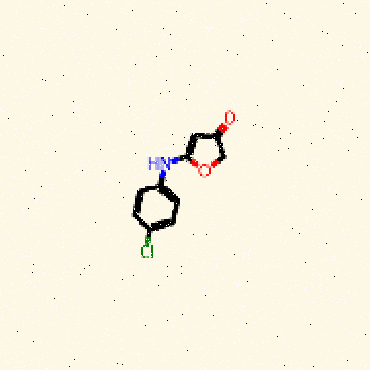 O=C1C=C(Nc2ccc(Cl)cc2)OC1